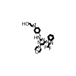 CN(CCO)[C@H]1CC[C@H](CNc2nc(N3CCOCC3)cc(-n3c(C(F)F)nc4ccccc43)n2)CC1